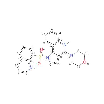 O=S(=O)(c1cccc2cccnc12)n1ccc2c(N3CCOCC3)nc3ccccc3c21